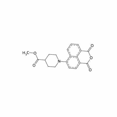 COC(=O)C1CCN(c2ccc3c4c(cccc24)C(=O)OC3=O)CC1